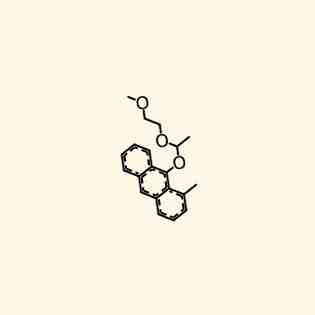 COCCOC(C)Oc1c2ccccc2cc2cccc(C)c12